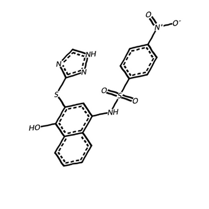 O=[N+]([O-])c1ccc(S(=O)(=O)Nc2cc(Sc3nc[nH]n3)c(O)c3ccccc23)cc1